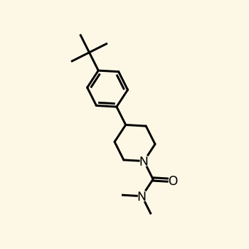 CN(C)C(=O)N1CCC(c2ccc(C(C)(C)C)cc2)CC1